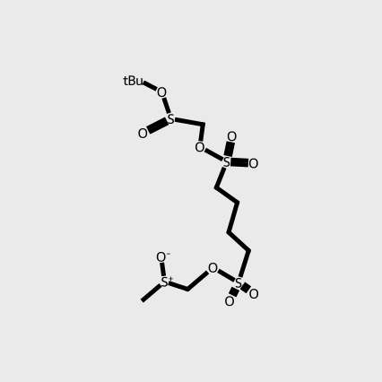 C[S+]([O-])COS(=O)(=O)CCCCS(=O)(=O)OCS(=O)OC(C)(C)C